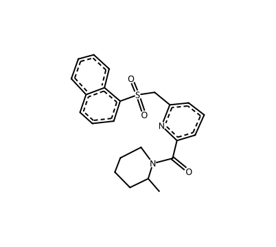 CC1CCCCN1C(=O)c1cccc(CS(=O)(=O)c2cccc3ccccc23)n1